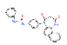 O=C1CC(=O)N(c2ccc(NC(=O)Nc3ccccc3)cc2)c2ccc3ccccc3c2N1